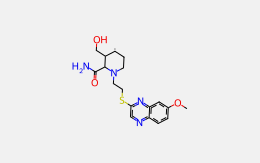 COc1ccc2ncc(SCCN3CC[CH]C(CO)C3C(N)=O)nc2c1